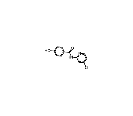 O=C(Nc1cc(Cl)ccn1)c1ccc(O)cc1